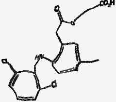 Cc1ccc(Nc2c(Cl)cccc2Cl)c(CC(=O)OCC(=O)O)c1